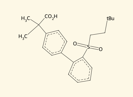 CC(C)(C)CCS(=O)(=O)c1ccccc1-c1ccc(C(C)(C)C(=O)O)cc1